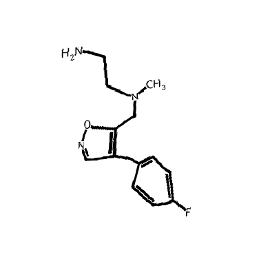 CN(CCN)Cc1oncc1-c1ccc(F)cc1